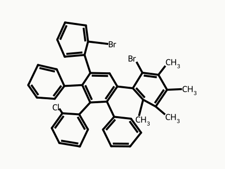 Cc1c(C)c(C)c(-c2cc(-c3ccccc3Br)c(-c3ccccc3)c(-c3ccccc3Cl)c2-c2ccccc2)c(Br)c1C